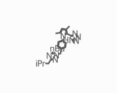 CCCCc1nc(CC(C)C)nn1Cc1ccc(-n2c(C)cc(C)c2-c2nnn[nH]2)cc1